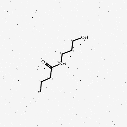 CC[CH]C(=O)NCCCO